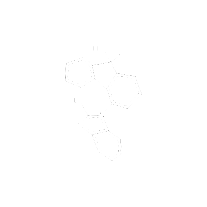 CC1(C)c2ccccc2-c2c(-n3c(Br)nc4ccccc43)cccc21